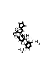 Cc1ccc(C)c(Oc2cnn(C(CC3CCCC3)C(=O)O)c(=O)c2)c1C